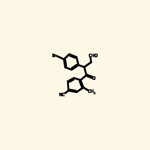 Cc1cc(C#N)ccc1C(=O)C(CC=O)c1ccc(Br)cc1